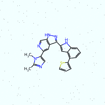 Cc1ncc(-c2cc3c(-c4cc5c(-c6cccs6)cccc5[nH]4)n[nH]c3cn2)n1C